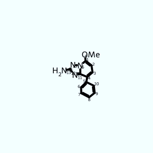 COc1ccc(-c2ccccc2)c2nc(N)nn12